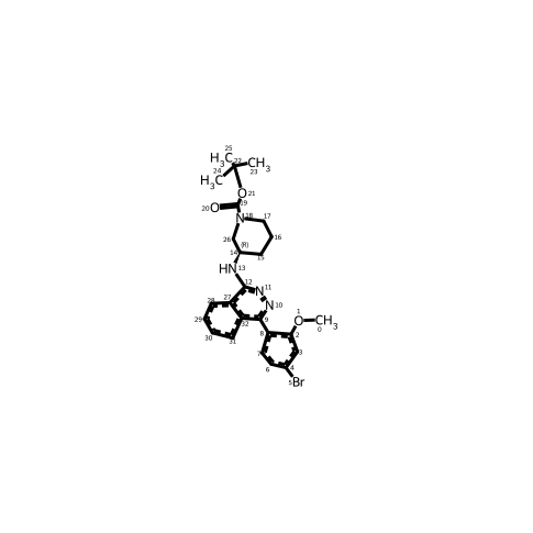 COc1cc(Br)ccc1-c1nnc(N[C@@H]2CCCN(C(=O)OC(C)(C)C)C2)c2ccccc12